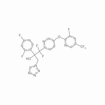 OC(Cn1cnnn1)(c1ccc(F)cc1F)C(F)(F)c1ccc(Oc2ncc(C(F)(F)F)cc2F)cn1